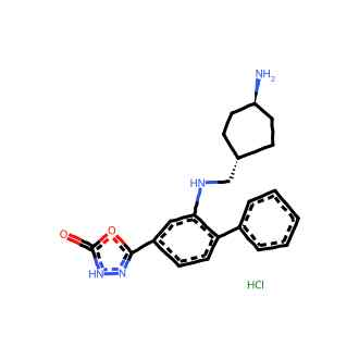 Cl.N[C@H]1CC[C@H](CNc2cc(-c3n[nH]c(=O)o3)ccc2-c2ccccc2)CC1